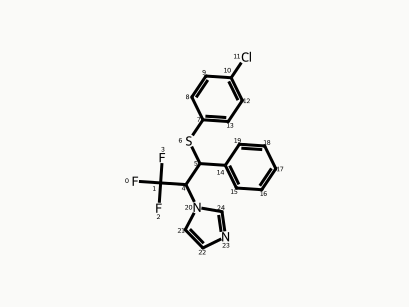 FC(F)(F)C(C(Sc1ccc(Cl)cc1)c1ccccc1)n1ccnc1